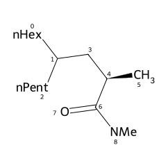 CCCCCCC(CCCCC)C[C@@H](C)C(=O)NC